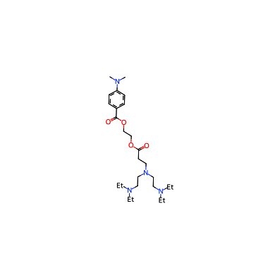 CCN(CC)CCN(CCC(=O)OCCOC(=O)c1ccc(N(C)C)cc1)CCN(CC)CC